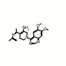 C=C(C)/N=C(/C)C1=C(N)CN(c2ncnc3cc(OC)c(OC)cc23)CC1